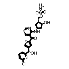 NS(=O)(=O)OC[C@H]1C[C@@H](Nc2ncncc2C(=O)c2cc([C@H](O)c3cccc(Cl)n3)cs2)C[C@@H]1O